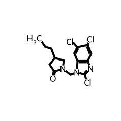 CCCC1CC(=O)N(Cn2c(Cl)nc3cc(Cl)c(Cl)cc32)C1